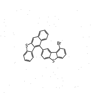 Brc1cccc2sc3ccc(-c4c5ccccc5cc5sc6ccccc6c45)cc3c12